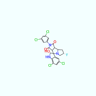 O=C1C2C3C[C@H](F)CN3C3(c4cc(Cl)cc(Cl)c4NC3O)C2C(=O)N1c1cc(Cl)cc(Cl)c1